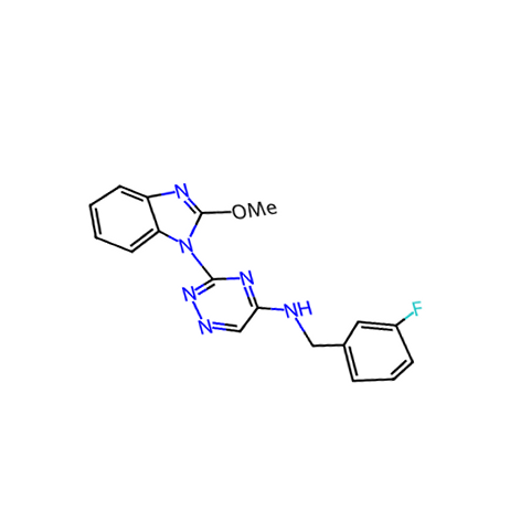 COc1nc2ccccc2n1-c1nncc(NCc2cccc(F)c2)n1